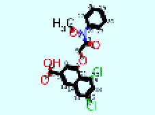 CON(C(=O)COc1cc(C(=O)O)cc2cc(Cl)cc(Cl)c12)c1ccccc1